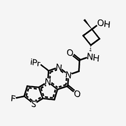 CC(C)c1nn(CC(=O)N[C@H]2C[C@@](C)(O)C2)c(=O)c2cc3sc(F)cc3n12